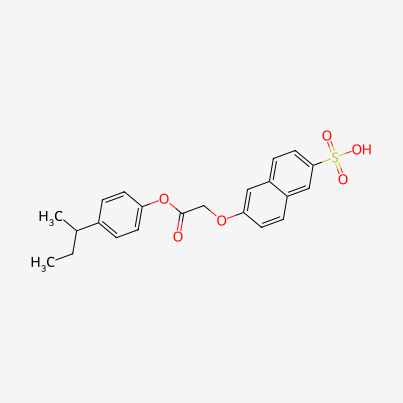 CCC(C)c1ccc(OC(=O)COc2ccc3cc(S(=O)(=O)O)ccc3c2)cc1